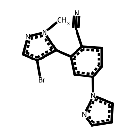 Cn1ncc(Br)c1-c1cc(-n2cccn2)ccc1C#N